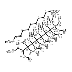 CCCCCCCCC=CCCCCCCCC(=O)[O-].CCCCCCCCCCCC(OCC)C(OCC)(OCC)C(OCC)(OCC)C(OCC)(OCC)C(OCC)(OCC)C(OCC)(OCC)C(OCC)(OCC)[N+](OCC)(OCC)OCC